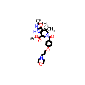 CC(C)OC(=O)C1=CN(C(=O)c2ccc(OCCCN3CCOCC3)cc2)CC(C)(C)c2c1[nH]c1nc(C(F)(F)F)oc21